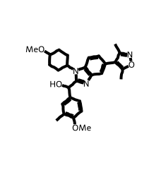 COc1ccc(C(O)c2nc3cc(-c4c(C)noc4C)ccc3n2C2CCC(OC)CC2)cc1C